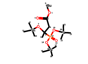 CC(C)(C)OC(=O)CC(C)(O[Si](C)(C)C)P(=O)(O[Si](C)(C)C)O[Si](C)(C)C